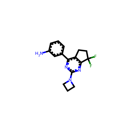 Nc1cccc(-c2nc(N3CCC3)nc3c2CCC3(F)F)c1